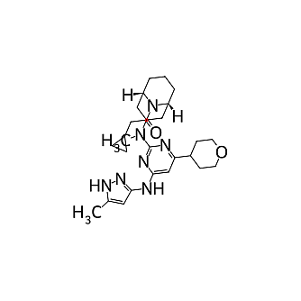 Cc1cc(Nc2cc(C3CCOCC3)nc(N(C)C3C[C@H]4CCC[C@@H](C3)N4C(=O)CC3CC3)n2)n[nH]1